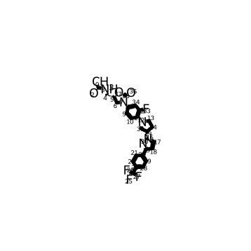 CC(=O)NC[C@H]1CN(c2ccc(N3CCC(n4ccc(-c5ccc(C(F)(F)F)cc5)n4)C3)c(F)c2)C(=O)O1